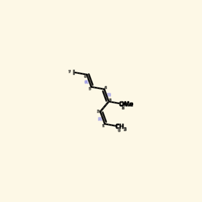 C\C=C/C(=C\C=C\I)OC